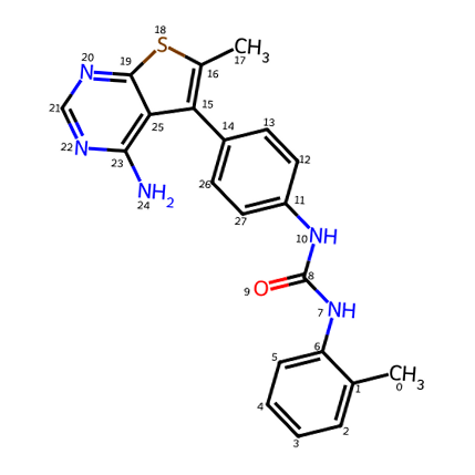 Cc1ccccc1NC(=O)Nc1ccc(-c2c(C)sc3ncnc(N)c23)cc1